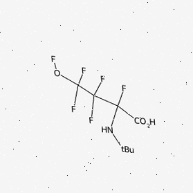 CC(C)(C)NC(F)(C(=O)O)C(F)(F)C(F)(F)OF